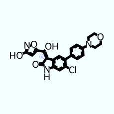 O=C1Nc2cc(Cl)c(-c3ccc(N4CCOCC4)cc3)cc2/C1=C(\O)c1cc(O)no1